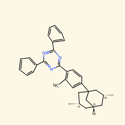 C[C@@H]1C[C@@H]2C[C@H](C)CC(c3ccc(-c4nc(-c5ccccc5)nc(-c5ccccc5)n4)c(C#N)c3)(C1)C2